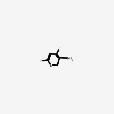 Nc1cnc(F)cc1F